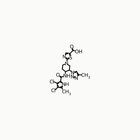 Cc1cn(C2CN(c3ncc(C(=O)O)s3)CCC2NC(=O)c2[nH]c(C)c(Cl)c2Cl)nn1